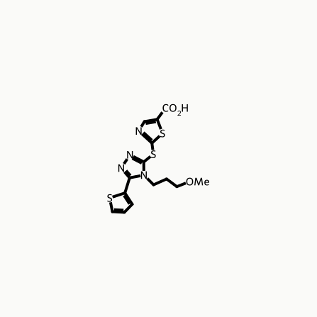 COCCCn1c(Sc2ncc(C(=O)O)s2)nnc1-c1cccs1